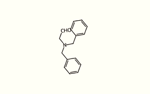 O=[C]CN(Cc1ccccc1)Cc1ccccc1